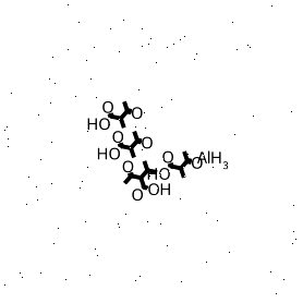 CC(=O)C(C(=O)O)C(C)C.CC(=O)C(C)C(=O)O.CC(=O)C(C)C(=O)O.CC(=O)C(C)C(=O)O.[AlH3]